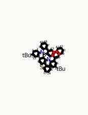 CC(C)(C)c1ccc(N2B3c4ccc5sc6ccccc6c5c4N(c4ccc(C(C)(C)C)cc4-c4ccccc4)c4cc(-c5ccccc5)cc(c43)-c3ccccc32)cc1